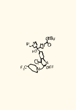 COc1nc2ccc(C(O)(c3ccnc(CF)c3)C3CN(C(=O)OC(C)(C)C)C3)cc2c(Cl)c1CN1CCC(C(F)(F)F)CC1